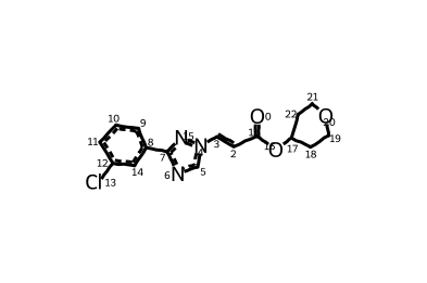 O=C(/C=C/n1cnc(-c2cccc(Cl)c2)n1)OC1CCOCC1